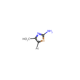 CC(=O)c1sc(N)nc1C(=O)O